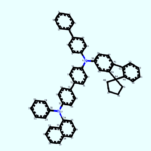 c1ccc(-c2ccc(N(c3ccc(-c4ccc(N(c5ccccc5)c5cccc6ccccc56)cc4)cc3)c3ccc4c(c3)C3(CCCC3)c3ccccc3-4)cc2)cc1